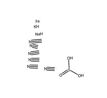 C#N.C#N.C#N.C#N.C#N.C#N.O=S(O)O.[Fe].[KH].[NaH]